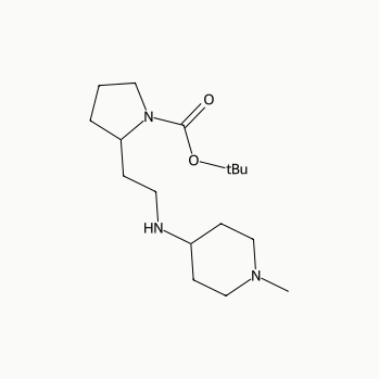 CN1CCC(NCCC2CCCN2C(=O)OC(C)(C)C)CC1